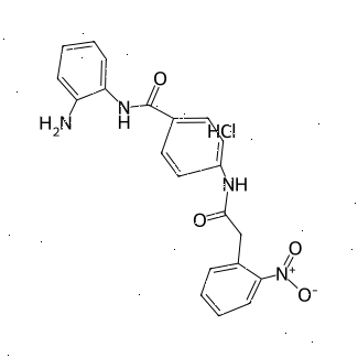 Cl.Nc1ccccc1NC(=O)c1ccc(NC(=O)Cc2ccccc2[N+](=O)[O-])cc1